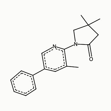 Cc1cc(-c2ccccc2)cnc1N1CC(C)(C)CC1=O